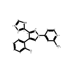 Nc1cc(-n2cc(-c3ccccc3Cl)c(-c3nnc[nH]3)n2)ccn1